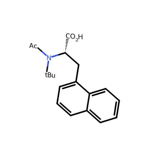 CC(=O)N([C@@H](Cc1cccc2ccccc12)C(=O)O)C(C)(C)C